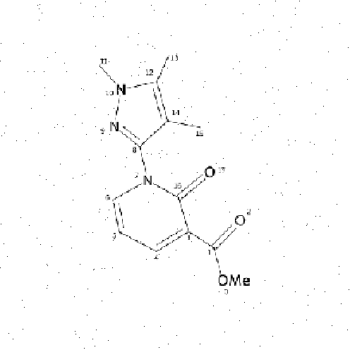 COC(=O)c1cccn(-c2nn(C)c(C)c2C)c1=O